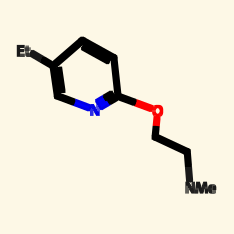 CCc1ccc(OCCNC)nc1